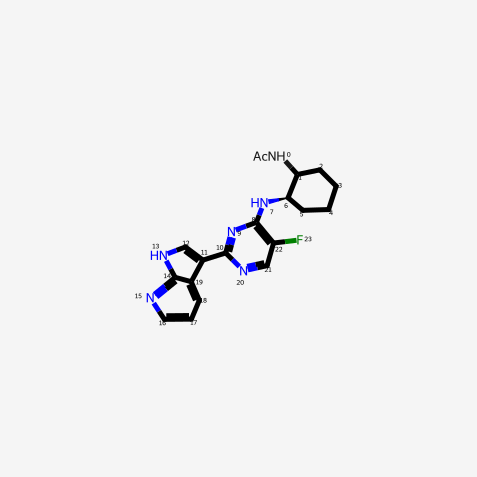 CC(=O)NC1CCCC[C@H]1Nc1nc(-c2c[nH]c3ncccc23)ncc1F